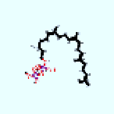 COP(=O)(O)OP(=O)(O)OCC[C@H](C)CC/C=C(/C)CC/C=C(\C)CC/C=C(\C)CCC=C(C)C